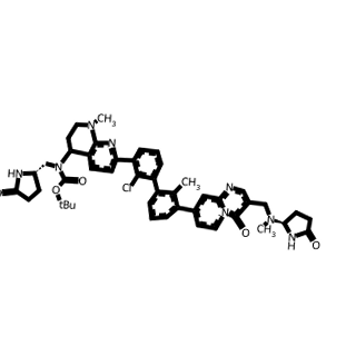 Cc1c(-c2ccn3c(=O)c(CN(C)[C@H]4CCC(=O)N4)cnc3c2)cccc1-c1cccc(-c2ccc3c(n2)N(C)CCC3N(C[C@@H]2CCC(=O)N2)C(=O)OC(C)(C)C)c1Cl